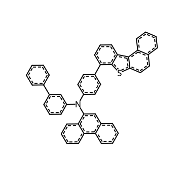 c1ccc(-c2cccc(N(c3ccc(-c4cccc5c4sc4ccc6ccccc6c45)cc3)c3cc4ccccc4c4ccccc34)c2)cc1